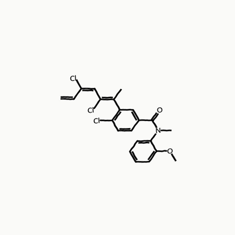 C=C/C(Cl)=C\C(Cl)=C(/C)c1cc(C(=O)N(C)c2ccccc2OC)ccc1Cl